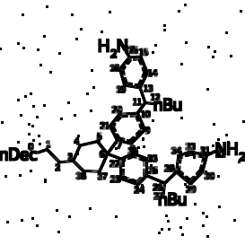 CCCCCCCCCCCCC1CCC(c2ccc(C(CCCC)c3ccc(N)cc3)cc2)(c2ccc(C(CCCC)c3ccc(N)cc3)cc2)CC1